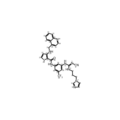 N#CN=C(NCCCn1ccnc1)Nc1cc(NC(=O)c2sccc2NCc2ccnc3ccccc23)cc(C(F)(F)F)c1